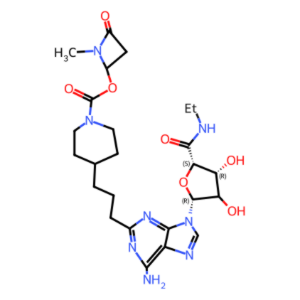 CCNC(=O)[C@H]1O[C@@H](n2cnc3c(N)nc(CCCC4CCN(C(=O)OC5CC(=O)N5C)CC4)nc32)C(O)[C@H]1O